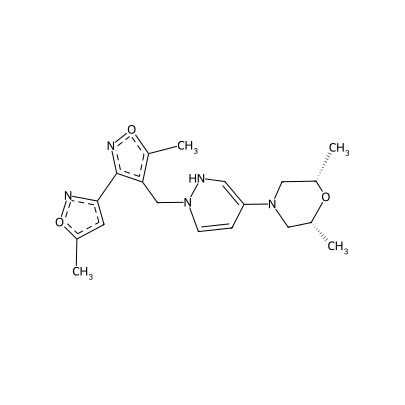 Cc1cc(-c2noc(C)c2CN2C=CC(N3C[C@@H](C)O[C@@H](C)C3)=CN2)no1